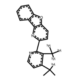 [2H]C([2H])([2H])c1c(C([2H])(C)C)ccnc1-c1ccc2oc3ccccc3c2n1